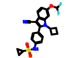 N#Cc1c(-c2ccc(NS(=O)(=O)C3CC3)cc2)n(C2CCC2)c2cc(OC(F)F)ccc12